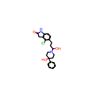 O=C1Cc2c(ccc(CCC(O)N3CCC(O)(c4ccccc4)CC3)c2Cl)N1